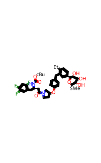 CCc1ccc([C@@H]2O[C@H](SC)[C@@H](O)[C@H](O)[C@H]2O)cc1Cc1ccc(O[C@H]2CCN(C(=O)C[C@@H](Cc3cc(F)c(F)cc3F)NC(=O)OC(C)(C)C)C2)cc1